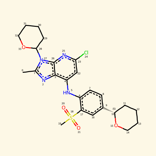 Cc1nc2c(Nc3ccc([C@@H]4CCCCO4)cc3S(C)(=O)=O)cc(Cl)nc2n1C1CCCCO1